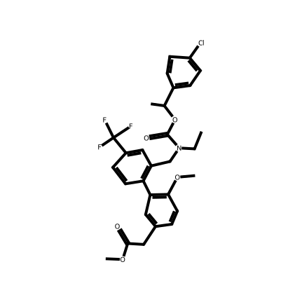 CCN(Cc1cc(C(F)(F)F)ccc1-c1cc(CC(=O)OC)ccc1OC)C(=O)OC(C)c1ccc(Cl)cc1